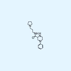 O=C(NCCCN1CCCC1)C1CN(c2ccccc2)CCN1